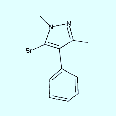 Cc1nn(C)c(Br)c1-c1ccccc1